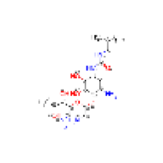 CC(C)CNC(=O)NC1CC(N)C(OC(CN)OC(CN)C(O)C(C)O)C(O)C1O